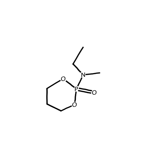 CCN(C)P1(=O)OCCCO1